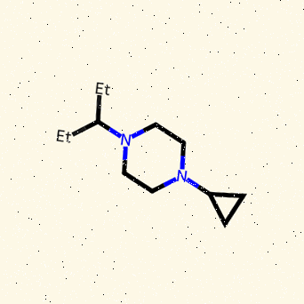 CCC(CC)N1CCN(C2CC2)CC1